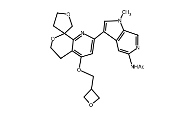 CC(=O)Nc1cc2c(-c3cc(OCC4COC4)c4c(n3)C3(CCOC3)OCC4)cn(C)c2cn1